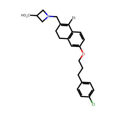 CCC1=C(CN2CC(C(=O)O)C2)CCc2cc(OCCCc3ccc(Cl)cc3)ccc21